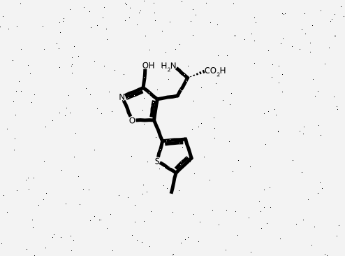 Cc1ccc(-c2onc(O)c2C[C@H](N)C(=O)O)s1